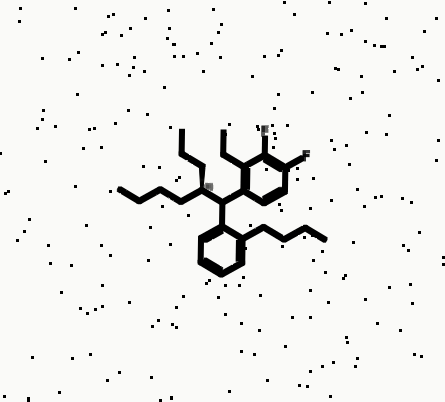 CCCCc1ccccc1C(c1ccc(F)c(F)c1CC)[C@H](CCC)CCCC